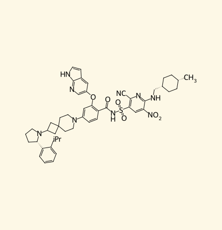 CC(C)c1ccccc1[C@@H]1CCCN1C1CC2(CCN(c3ccc(C(=O)NS(=O)(=O)c4cc([N+](=O)[O-])c(NC[C@H]5CC[C@@H](C)CC5)nc4C#N)c(Oc4cnc5[nH]ccc5c4)c3)CC2)C1